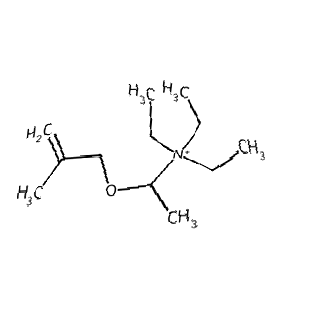 C=C(C)COC(C)[N+](CC)(CC)CC